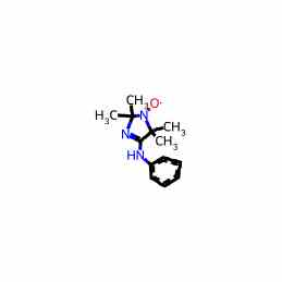 CC1(C)N=C(Nc2ccccc2)C(C)(C)N1[O]